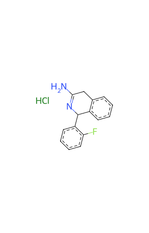 Cl.NC1=NC(c2ccccc2F)c2ccccc2C1